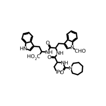 CC(C)CC(NC(=O)N1CCCCCC1)C(=O)NC(Cc1cn(C=O)c2ccccc12)C(=O)NC(Cc1c[nH]c2ccccc12)C(=O)O